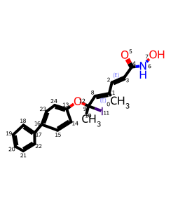 CC(/C=C/C(=O)NO)=C\C(C)(I)Oc1ccc(-c2ccccc2)cc1